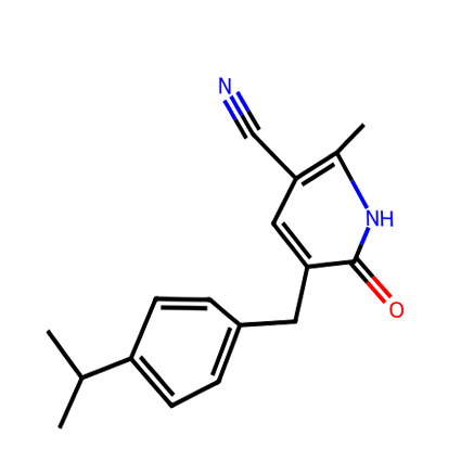 Cc1[nH]c(=O)c(Cc2ccc(C(C)C)cc2)cc1C#N